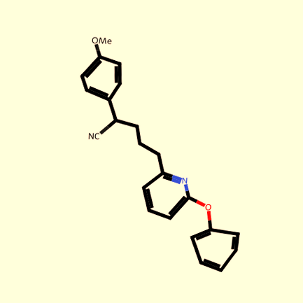 COc1ccc(C(C#N)CCCc2cccc(Oc3ccccc3)n2)cc1